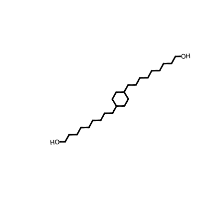 OCCCCCCCCCC1CCC(CCCCCCCCCO)CC1